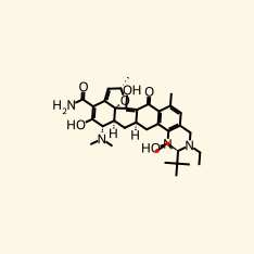 CCN(Cc1cc(C)c2c(c1N(C)C)C[C@H]1C[C@H]3[C@H](N(C)C)C(O)=C(C(N)=O)C4=C[C@H](C)O[C@@]43C(O)=C1C2=O)[C@H](CO)C(C)(C)C